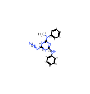 CN(c1ccccc1)c1nc(N=[N+]=[N-])nc(Nc2ccccc2)n1